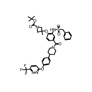 CC(C)(C)OC(=O)N1CC(C)(Oc2ccc(C(=O)N3CCC(c4ccc(Oc5ccc(C(F)(F)F)nn5)cc4)CC3)cc2NS(=O)(=O)Cc2ccccc2)C1